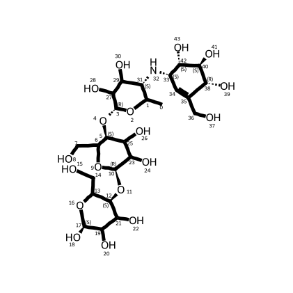 CC1O[C@H](O[C@@H]2C(CO)O[C@H](O[C@@H]3C(CO)O[C@H](O)C(O)C3O)C(O)C2O)C(O)C(O)[C@@H]1N[C@H]1C=C(CO)[C@@H](O)[C@H](O)[C@H]1O